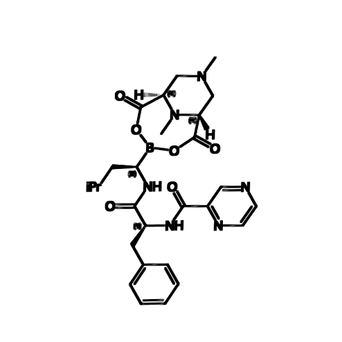 CC(C)C[C@H](NC(=O)[C@H](Cc1ccccc1)NC(=O)c1cnccn1)B1OC(=O)[C@H]2CN(C)C[C@H](C(=O)O1)N2C